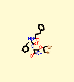 O=C(CCc1ccccc1)N[C@@H](Cc1ccccc1)C(=O)N[C@H]1C(=O)N[C@@H]1OC(CBr)CBr